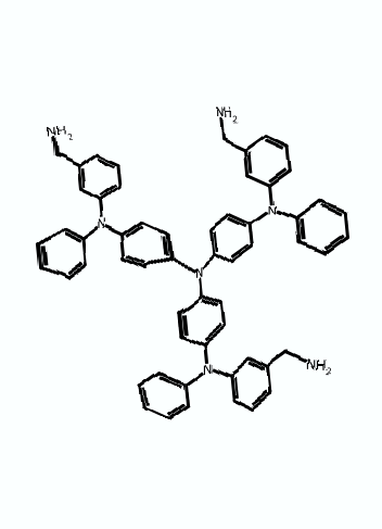 NCc1cccc(N(c2ccccc2)c2ccc(N(c3ccc(N(c4ccccc4)c4cccc(CN)c4)cc3)c3ccc(N(c4ccccc4)c4cccc(CN)c4)cc3)cc2)c1